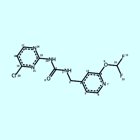 O=C(NCc1ccnc(OC(F)F)c1)Nc1nccc(Cl)n1